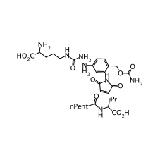 CCCCCC(=O)NC(C(=O)O)C(C)C.NC(=O)NCCCC(N)C(=O)O.NC(=O)OCc1ccc(N)cc1.O=C1C=CC(=O)N1